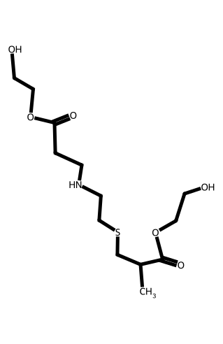 CC(CSCCNCCC(=O)OCCO)C(=O)OCCO